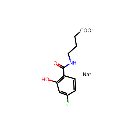 O=C([O-])CCCNC(=O)c1ccc(Cl)cc1O.[Na+]